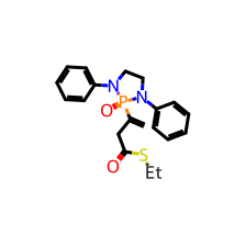 C=C(CC(=O)SCC)P1(=O)N(c2ccccc2)CCN1c1ccccc1